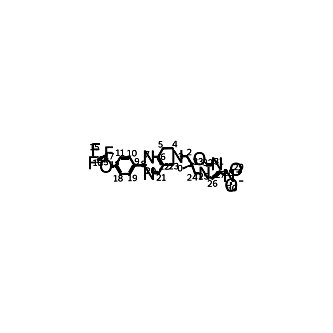 C[C@]1(CN2CCc3nc(-c4ccc(OC(F)(F)F)cc4)ncc3C2)Cn2cc([N+](=O)[O-])nc2O1